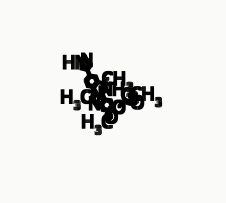 COc1cc2nc(C)nc(N[C@H](C)c3cccc(-c4cn[nH]c4)c3)c2cc1OCCS(C)(=O)=O